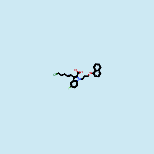 O=C(O)c1c(/C=C/CCCCl)c2cc(F)ccc2n1CCCOc1cccc2ccccc12